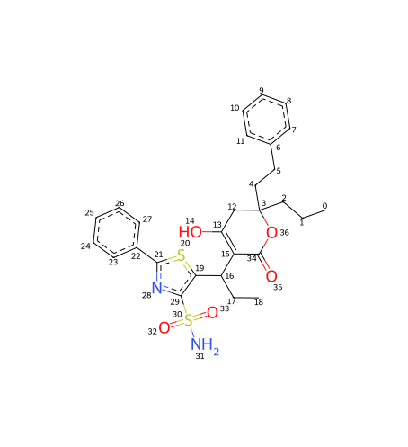 CCCC1(CCc2ccccc2)CC(O)=C(C(CC)c2sc(-c3ccccc3)nc2S(N)(=O)=O)C(=O)O1